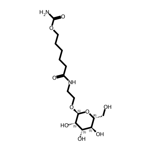 NC(=O)OCCCCCC(=O)NCCO[C@H]1O[C@H](CO)[C@@H](O)[C@H](O)[C@@H]1O